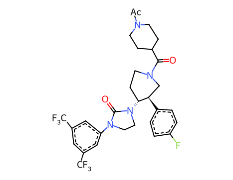 CC(=O)N1CCC(C(=O)N2CC[C@@H](N3CCN(c4cc(C(F)(F)F)cc(C(F)(F)F)c4)C3=O)[C@H](c3ccc(F)cc3)C2)CC1